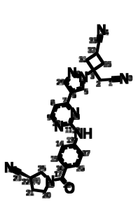 N#CCC1(n2cc(-c3ccnc(Nc4ccc(C(=O)N5CC[C@@H](C#N)C5)cc4)n3)cn2)CC(C#N)C1